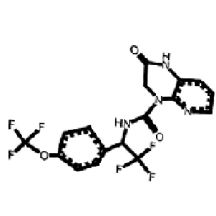 O=C1CN(C(=O)NC(c2ccc(OC(F)(F)F)cc2)C(F)(F)F)c2ncccc2N1